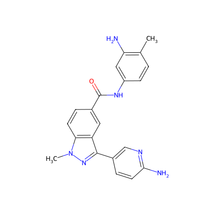 Cc1ccc(NC(=O)c2ccc3c(c2)c(-c2ccc(N)nc2)nn3C)cc1N